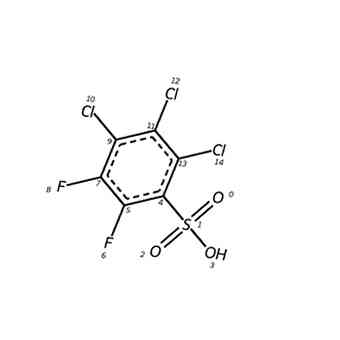 O=S(=O)(O)c1c(F)c(F)c(Cl)c(Cl)c1Cl